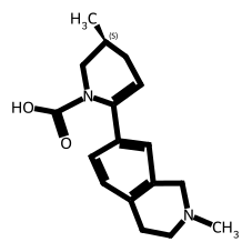 C[C@H]1CC=C(c2ccc3c(c2)CN(C)CC3)N(C(=O)O)C1